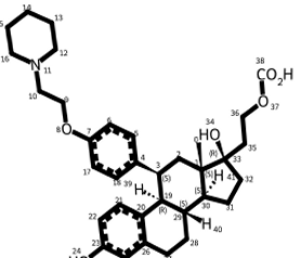 C[C@]12C[C@H](c3ccc(OCCN4CCCCC4)cc3)[C@@H]3c4ccc(O)cc4CC[C@H]3[C@@H]1CC[C@@]2(O)CCOC(=O)O